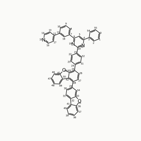 c1ccc(-c2cc(-c3cccc(-c4ccncc4)c3)nc(-c3ccc(-c4ccc(-c5ccc6c(c5)oc5ccccc56)c5c4oc4ccccc45)cc3)n2)cc1